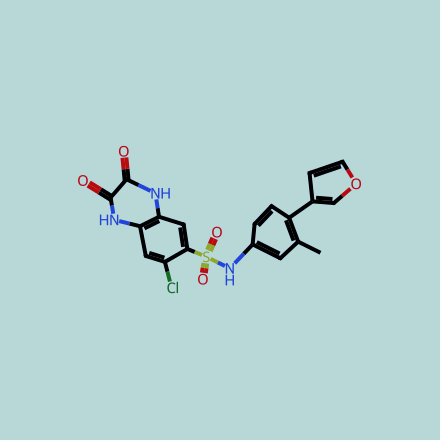 Cc1cc(NS(=O)(=O)c2cc3[nH]c(=O)c(=O)[nH]c3cc2Cl)ccc1-c1ccoc1